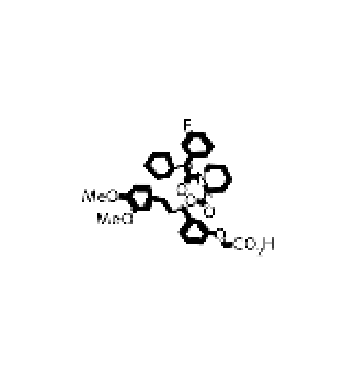 COc1ccc(CC[C@@H](OC(=O)[C@@H]2CCCCN2C(=O)[C@H](c2cccc(F)c2)C2CCCCC2)c2cccc(OCC(=O)O)c2)cc1OC